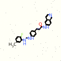 Cc1ccc(F)c(NCNc2ccc(/C=C/C(=O)Nc3ccc4cnccc4c3)cc2)c1